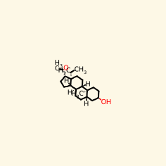 C=C(C)[C@]12CC[C@H]3[C@@H](CC[C@H]4C[C@H](O)CC[C@@]43C)[C@@H]1CC[C@@H]2C(C)=O